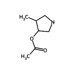 CC(=O)OC1C[N]CC1C